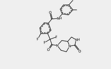 Cc1cc(NC(=O)c2ccc(F)c(C(F)(F)C(=O)N3CCN4C(=O)NCC4C3)c2)ccc1F